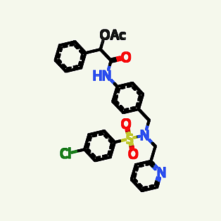 CC(=O)OC(C(=O)Nc1ccc(CN(Cc2ccccn2)S(=O)(=O)c2ccc(Cl)cc2)cc1)c1ccccc1